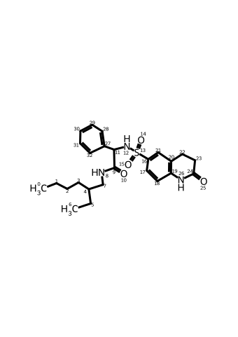 CCCCC(CC)CNC(=O)C(NS(=O)(=O)c1ccc2c(c1)CCC(=O)N2)c1ccccc1